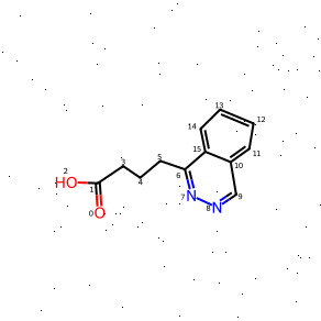 O=C(O)CCCc1nncc2ccccc12